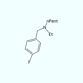 [CH2]CCCCN(CC)Cc1ccc(F)cc1